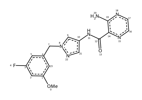 COc1cc(F)cc(Cn2cc(NC(=O)c3nccnc3N)cn2)c1